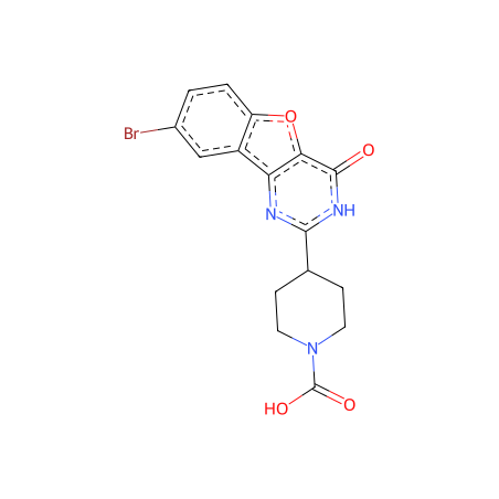 O=C(O)N1CCC(c2nc3c(oc4ccc(Br)cc43)c(=O)[nH]2)CC1